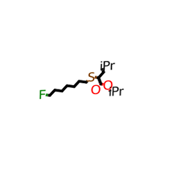 CC(C)CC(SCCCCCCCF)C(=O)OC(C)C